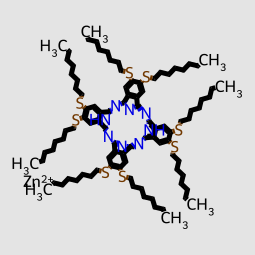 CCCCCCCCSc1cc2c(cc1SCCCCCCCC)-c1nc-2nc2[nH]c(nc3nc(nc4[nH]c(n1)c1cc(SCCCCCCCC)c(SCCCCCCCC)cc41)-c1cc(SCCCCCCCC)c(SCCCCCCCC)cc1-3)c1cc(SCCCCCCCC)c(SCCCCCCCC)cc21.[Zn+2]